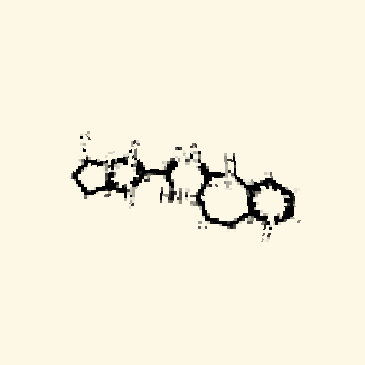 C[C@H]1CCc2nc(C(=O)N[C@H]3CCc4ncccc4NC3=O)nn21